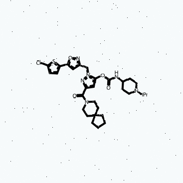 CC(C)N1CCC(NC(=O)Oc2cc(C(=O)N3CCC4(CCCC4)CC3)nn2Cc2cc(-c3ccc(Cl)s3)on2)CC1